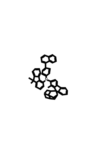 Cc1c(N(c2ccc(-c3cccc4ccccc34)cc2)c2cccc3c2-c2ccccc2C3(C)C)ccc2c1C1(c3ccccc3-2)C2CC3CC(C2)CC1C3